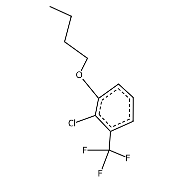 CCCCOc1cccc(C(F)(F)F)c1Cl